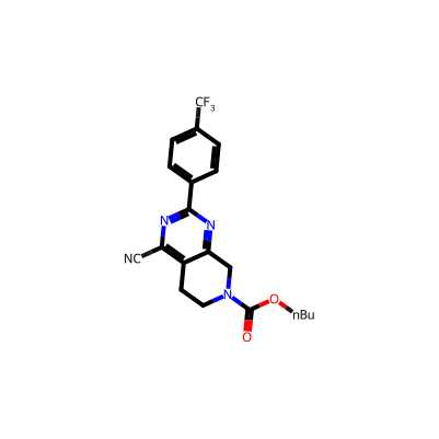 CCCCOC(=O)N1CCc2c(C#N)nc(-c3ccc(C(F)(F)F)cc3)nc2C1